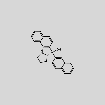 OC(c1ccc2ccccc2c1)(c1ccc2ccccc2c1)[C@@H]1CCCN1